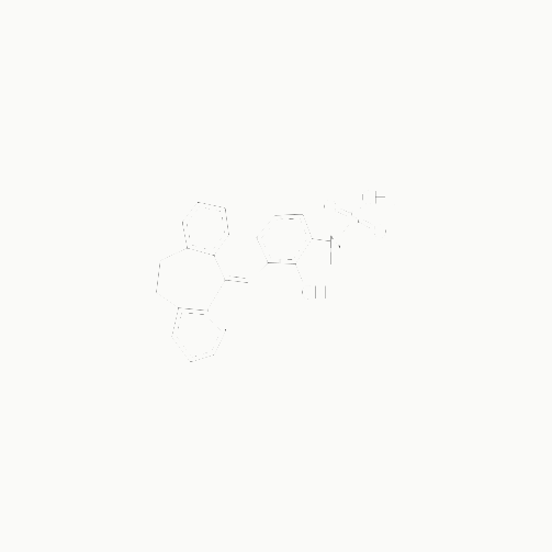 Cc1c(C=C2c3ccccc3CCc3ccccc32)cccc1NS(C)(=O)=O